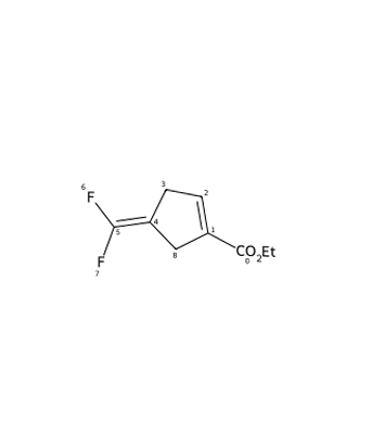 CCOC(=O)C1=CCC(=C(F)F)C1